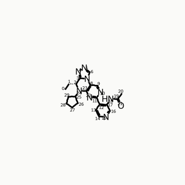 CC[C@@H]1c2nncn2-c2cnc(-c3ccncc3NC(C)=O)nc2N1C1CCCC1